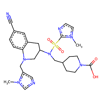 Cn1cncc1CN1CC(N(CC2CCN(C(=O)O)CC2)S(=O)(=O)c2nccn2C)Cc2cc(C#N)ccc21